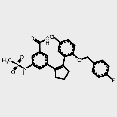 CS(=O)(=O)Nc1cc(C(=O)O)cc(C2=C(c3cc(Cl)ccc3OCc3ccc(F)cc3)CCC2)c1